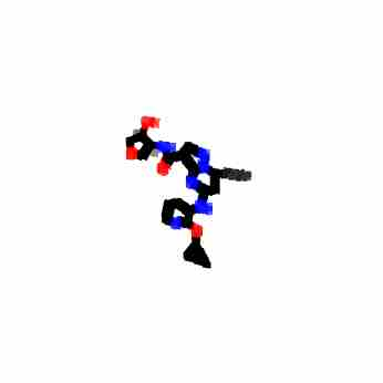 CNc1cc(Nc2cccnc2OC2CC2)nc2c(C(=O)N[C@H]3COC[C@H]3O)cnn12